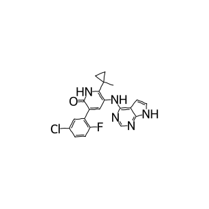 CC1(c2[nH]c(=O)c(-c3cc(Cl)ccc3F)cc2Nc2ncnc3[nH]ccc23)CC1